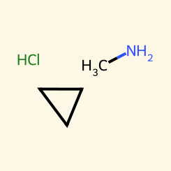 C1CC1.CN.Cl